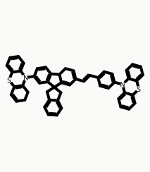 C1=CC2=C(CC1)N(c1ccc3c(c1)C1(Cc4ccccc4C1)C1=CC(/C=C/c4ccc(N5c6ccccc6Sc6ccccc65)cc4)=CCC13)c1ccccc1S2